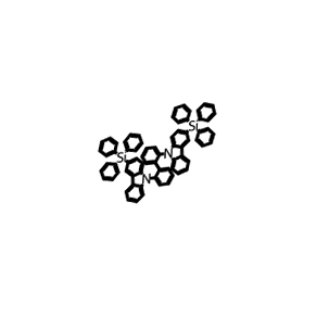 c1ccc([Si](c2ccccc2)(c2ccccc2)c2ccc3c(c2)c2ccccc2n3-c2ccccc2-c2ccccc2-n2c3ccccc3c3cc([Si](c4ccccc4)(c4ccccc4)c4ccccc4)ccc32)cc1